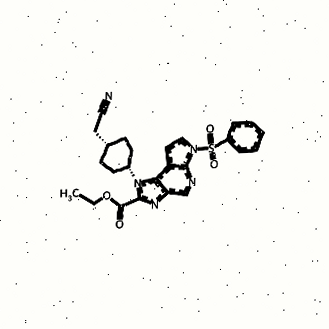 CCOC(=O)c1nc2cnc3c(ccn3S(=O)(=O)c3ccccc3)c2n1[C@H]1CC[C@@H](CC#N)CC1